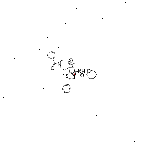 O=C(CC1(c2ccc(-c3ccccc3)s2)CCN(C(=O)c2ccccc2)CCS1(=O)=O)NOC1CCCCO1